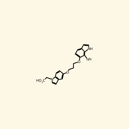 CCCc1c(OCCCOc2ccc3c(ccn3CC(=O)O)c2)ccc2cc[nH]c12